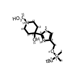 CC(C)(C)[Si](C)(C)OCc1csc(C2(O)CCN(C(=O)O)CC2)n1